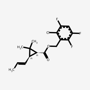 CC=C[C@@H]1[C@@H](C(=O)OCc2c(F)c(F)cc(F)c2Cl)C1(C)C